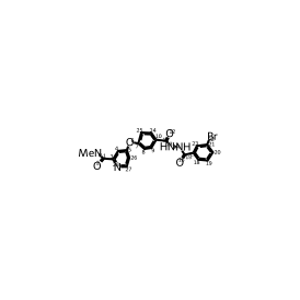 CNC(=O)c1cc(Oc2ccc(C(=O)NNC(=O)c3cccc(Br)c3)cc2)ccn1